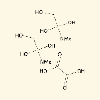 CNC(O)(O)CO.CNC(O)(O)CO.O=C(O)C(=O)O